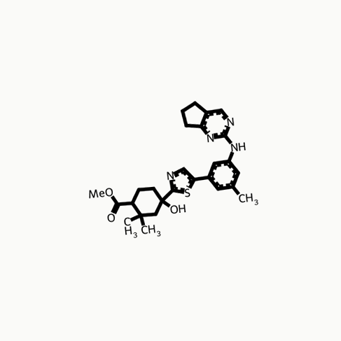 COC(=O)C1CCC(O)(c2ncc(-c3cc(C)cc(Nc4ncc5c(n4)CCC5)c3)s2)CC1(C)C